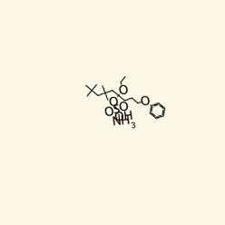 CCOC(CCCOc1ccccc1)(CC(C)(C)CC(C)(C)C)OS(=O)(=O)O.N